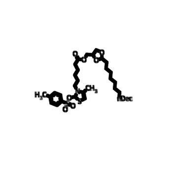 CCCCCCCCCCCCCCCCCC1OCC(COC(=O)CCCCCN2C(C)=CSC2OS(=O)(=O)c2ccc(C)cc2)O1